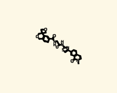 Cn1ccc2ccc(-c3csc(NC(=O)CNC(=O)c4ccc5c(c4)C4(COC5)COC4)n3)cc2c1=O